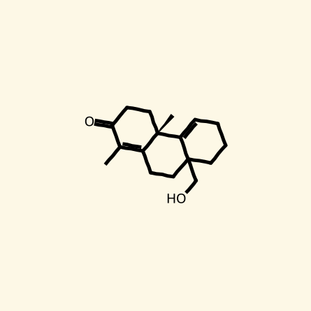 CC1=C2CCC3(CO)CCCC=C3[C@@]2(C)CCC1=O